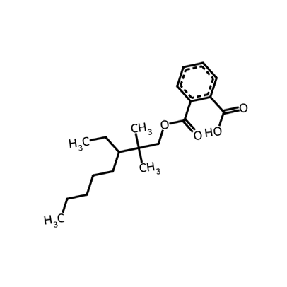 CCCCCC(CC)C(C)(C)COC(=O)c1ccccc1C(=O)O